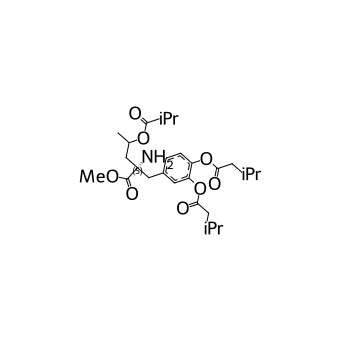 COC(=O)[C@](N)(Cc1ccc(OC(=O)CC(C)C)c(OC(=O)CC(C)C)c1)CC(C)OC(=O)C(C)C